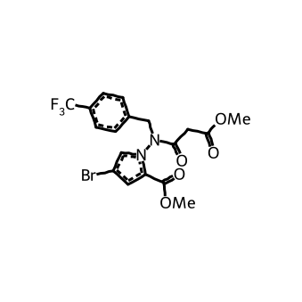 COC(=O)CC(=O)N(Cc1ccc(C(F)(F)F)cc1)n1cc(Br)cc1C(=O)OC